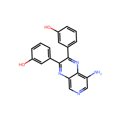 Nc1cncc2nc(-c3cccc(O)c3)c(-c3cccc(O)c3)nc12